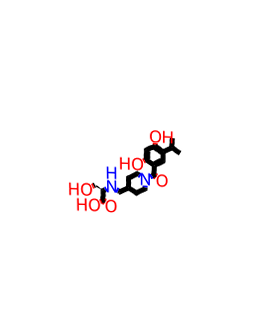 CC(C)c1cc(C(=O)N2CCC(CN[C@@H](CO)C(=O)O)CC2)c(O)cc1O